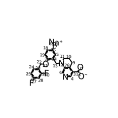 O=C([O-])c1cncc2c1CCCN2Cc1cc(F)ccc1OCc1ccc(F)cc1F.[Na+]